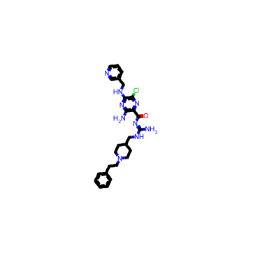 N/C(=N\C(=O)c1nc(Cl)c(NCc2cccnc2)nc1N)NCC1CCN(CCc2ccccc2)CC1